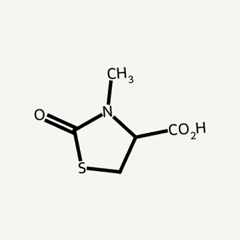 CN1C(=O)SCC1C(=O)O